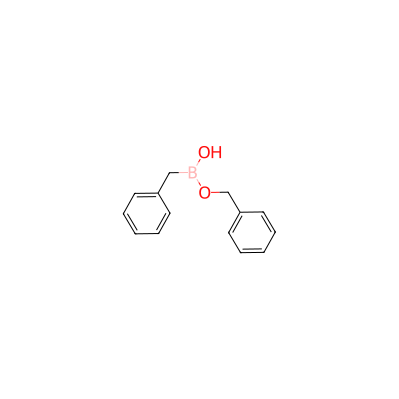 OB(Cc1ccccc1)OCc1ccccc1